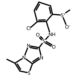 Cc1csc2nc(S(=O)(=O)Nc3c(Cl)cccc3[S+](C)[O-])nn12